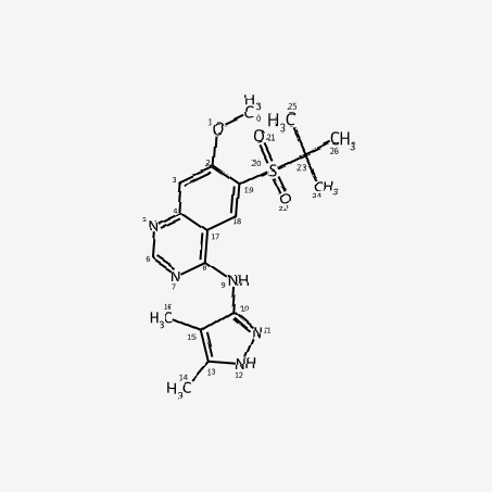 COc1cc2ncnc(Nc3n[nH]c(C)c3C)c2cc1S(=O)(=O)C(C)(C)C